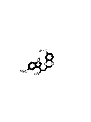 [CH2]CCC(CC1COc2ccc(OC)cc2O1)c1c[nH]c2ccc(OC)cc12